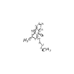 CCCCCc1cc(C)ccc1C(=O)c1ccccc1S